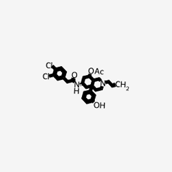 C=CCN1CCC2(c3cccc(O)c3)C[C@H](NC(=O)Cc3ccc(Cl)c(Cl)c3)CC(OC(C)=O)C2C1